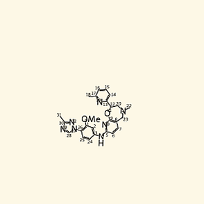 COc1cc(Nc2ccc3c(n2)OC(c2cccc(C)n2)CN(C)C3)ccc1-n1cnc(C)n1